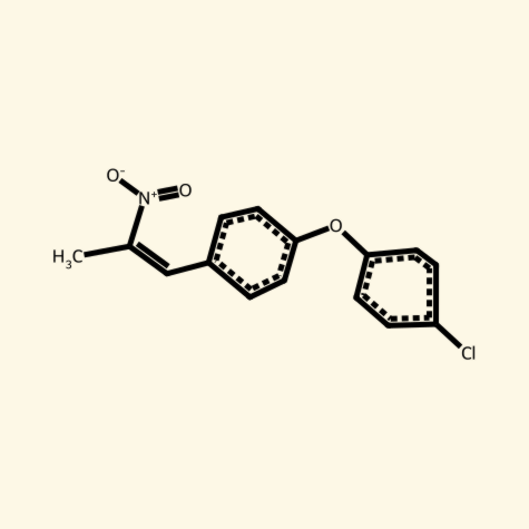 CC(=Cc1ccc(Oc2ccc(Cl)cc2)cc1)[N+](=O)[O-]